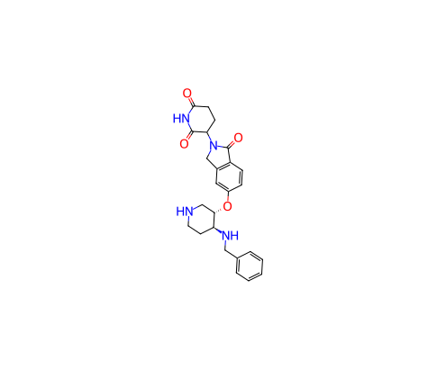 O=C1CCC(N2Cc3cc(O[C@H]4CNCC[C@@H]4NCc4ccccc4)ccc3C2=O)C(=O)N1